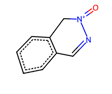 O=[N+]1Cc2ccccc2C=N1